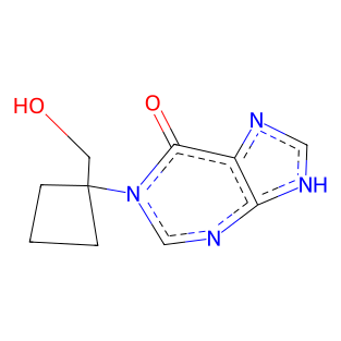 O=c1c2nc[nH]c2ncn1C1(CO)CCC1